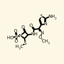 CON=C(C(=O)NC1C(=O)N(S(=O)(=O)O)C1SC)c1csc(N)n1